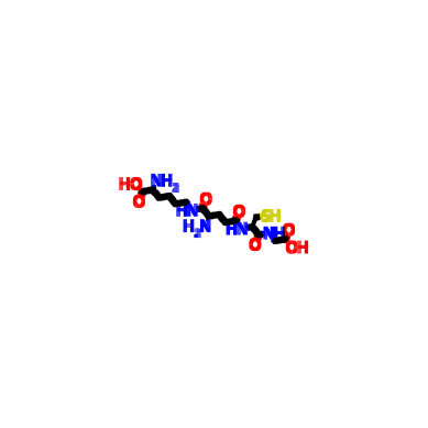 N[C@@H](CCCCNC(=O)[C@@H](N)CCC(=O)N[C@@H](CS)C(=O)NCC(=O)O)C(=O)O